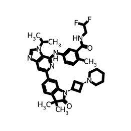 Cc1ccc(Nc2nc(-c3ccc4c(c3)N([C@H]3C[C@@H](N5CCCCC5)C3)C(=O)C4(C)C)cc3ncn(C(C)C)c23)cc1C(=O)NCC(F)F